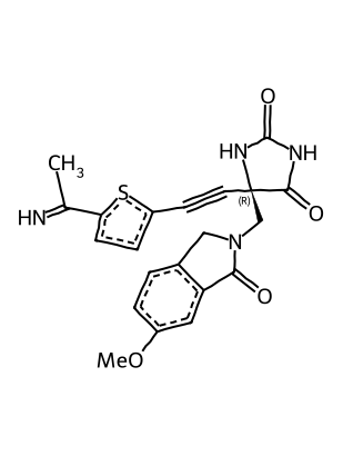 COc1ccc2c(c1)C(=O)N(C[C@@]1(C#Cc3ccc(C(C)=N)s3)NC(=O)NC1=O)C2